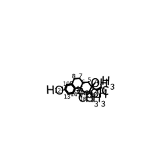 CC=CC1(O)CC2CCc3cc(O)ccc3C2(CC)CC1(C)O